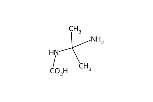 CC(C)(N)NC(=O)O